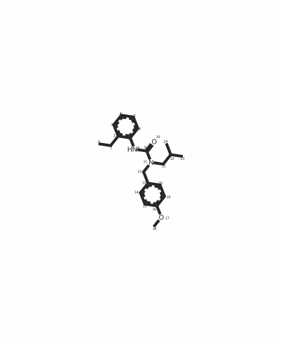 CCc1ccccc1NC(=O)N(Cc1ccc(OC)cc1)CC(C)C